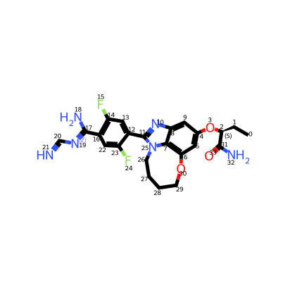 CC[C@H](Oc1cc2c3c(c1)nc(-c1cc(F)c(/C(N)=N/C=N)cc1F)n3CCCCO2)C(N)=O